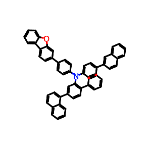 c1ccc(-c2ccc(-c3cccc4ccccc34)cc2N(c2ccc(-c3ccc4ccccc4c3)cc2)c2ccc(-c3ccc4c(c3)oc3ccccc34)cc2)cc1